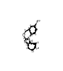 Fc1ccc2c(c1)COc1nc3ccccc3n1-2